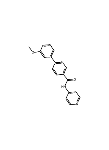 COc1cccc(-c2ccc(C(=O)Nc3ccncc3)cn2)c1